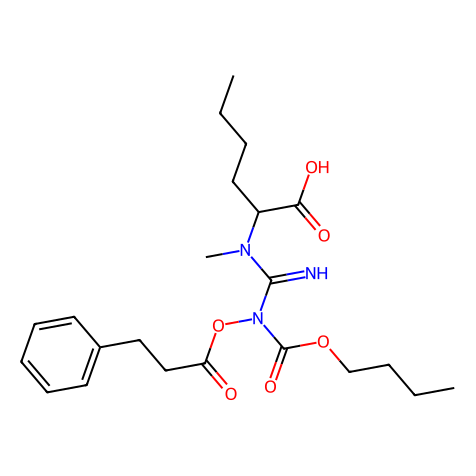 CCCCOC(=O)N(OC(=O)CCc1ccccc1)C(=N)N(C)C(CCCC)C(=O)O